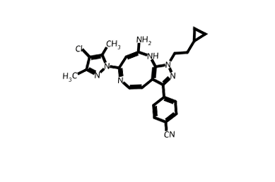 Cc1nn(-c2cc(N)[nH]c3c(ccn2)c(-c2ccc(C#N)cc2)nn3CCC2CC2)c(C)c1Cl